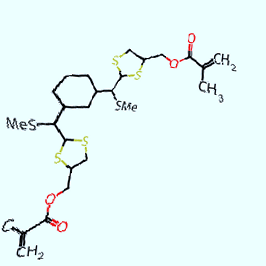 C=C(C)C(=O)OCC1CSC(C(SC)C2CCCC(C(SC)C3SCC(COC(=O)C(=C)C)S3)C2)S1